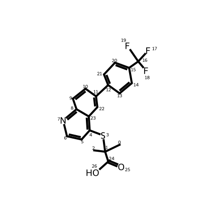 CC(C)(Sc1ccnc2ccc(-c3ccc(C(F)(F)F)cc3)cc12)C(=O)O